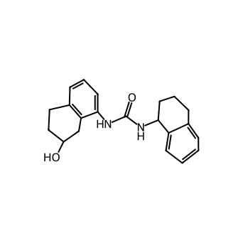 O=C(Nc1cccc2c1CC(O)CC2)NC1CCCc2ccccc21